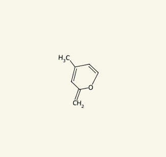 C=C1C=C(C)C=CO1